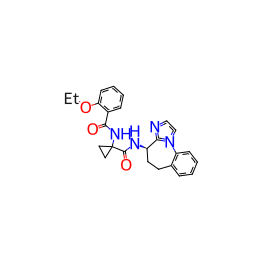 CCOc1ccccc1C(=O)NC1(C(=O)N[C@@H]2CCc3ccccc3-n3ccnc32)CC1